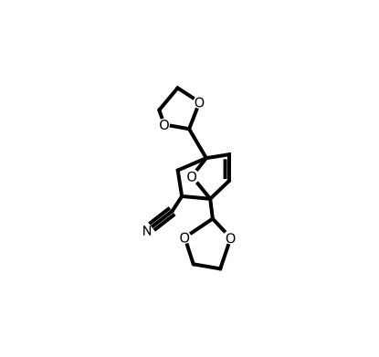 N#CC1CC2(C3OCCO3)C=CC1(C1OCCO1)O2